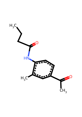 CCCC(=O)Nc1ccc(C(C)=O)cc1C